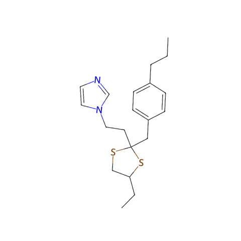 CCCc1ccc(CC2(CCn3ccnc3)SCC(CC)S2)cc1